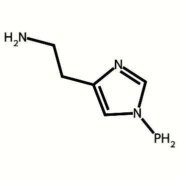 NCCc1cn(P)cn1